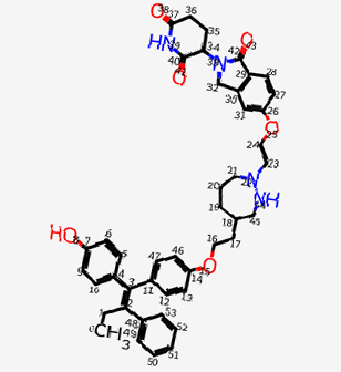 CC/C(=C(\c1ccc(O)cc1)c1ccc(OCCC2CCCN(CCOc3ccc4c(c3)CN(C3CCC(=O)NC3=O)C4=O)NC2)cc1)c1ccccc1